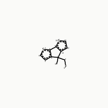 CC1(CF)c2ccsc2-c2sccc21